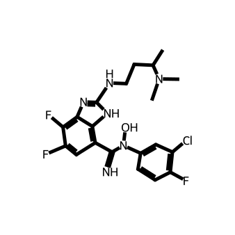 CC(CCNc1nc2c(F)c(F)cc(C(=N)N(O)c3ccc(F)c(Cl)c3)c2[nH]1)N(C)C